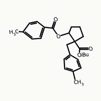 Cc1ccc(CC2(C(=O)OCC(C)C)CCCC2OC(=O)c2ccc(C)cc2)cc1